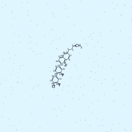 C=CCCc1ccc2c(F)c(-c3ccc(-c4ccc(Cl)c(F)c4)c(F)c3)ccc2c1